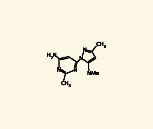 CNc1cc(C)nn1-c1cc(N)nc(C)n1